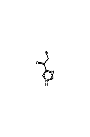 O=C(CBr)c1c[nH]cn1